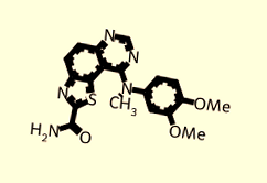 COc1ccc(N(C)c2ncnc3ccc4nc(C(N)=O)sc4c23)cc1OC